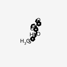 CSc1ccc(CNC(=O)c2ccc3c(c2)OCCCN3c2cccc3c2CCO3)cc1